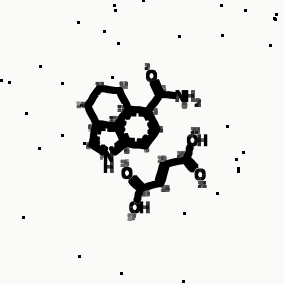 NC(=O)c1ccc2[nH]cc3c2c1CCC3.O=C(O)C=CC(=O)O